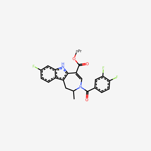 CCCOC(=O)C1=CN(C(=O)c2ccc(F)c(F)c2)C(C)Cc2c1[nH]c1cc(F)ccc21